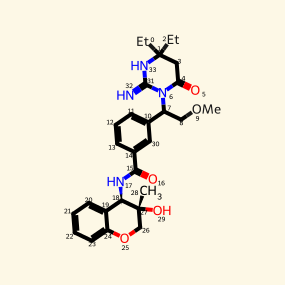 CCC1(CC)CC(=O)N(C(COC)c2cccc(C(=O)N[C@@H]3c4ccccc4OC[C@@]3(C)O)c2)C(=N)N1